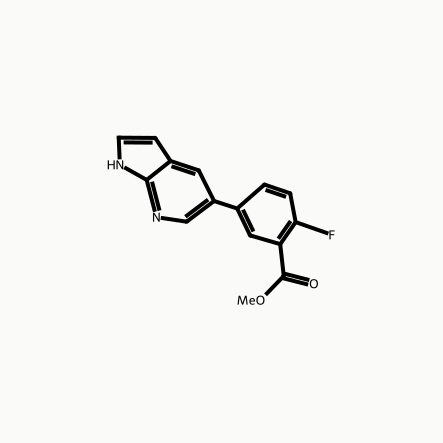 COC(=O)c1cc(-c2cnc3[nH]ccc3c2)ccc1F